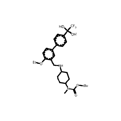 CCOc1ccc(-c2ccc(C(O)(O)C(F)(F)F)cc2)cc1CNC1CCC(N(C)C(=O)OC(C)(C)C)CC1